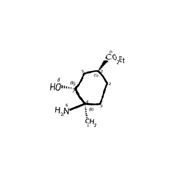 CCOC(=O)[C@H]1CC[C@@](C)(N)[C@H](O)C1